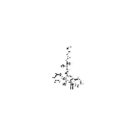 CCCCCCNC(=O)CSc1nc2c([nH]c3ccccc32)c(=O)n1-c1ccccc1